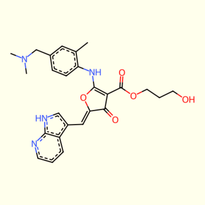 Cc1cc(CN(C)C)ccc1NC1=C(C(=O)OCCCO)C(=O)/C(=C/c2c[nH]c3ncccc23)O1